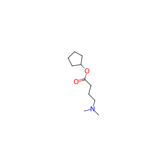 CN(C)CCCC(=O)OC1CCCC1